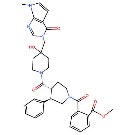 COC(=O)c1ccccc1C(=O)N1CC[C@@H](C(=O)N2CCC(O)(Cn3cnc4c(ccn4C)c3=O)CC2)[C@H](c2ccccc2)C1